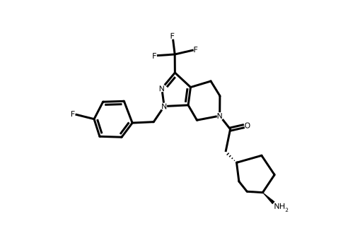 N[C@H]1CC[C@H](CC(=O)N2CCc3c(C(F)(F)F)nn(Cc4ccc(F)cc4)c3C2)CC1